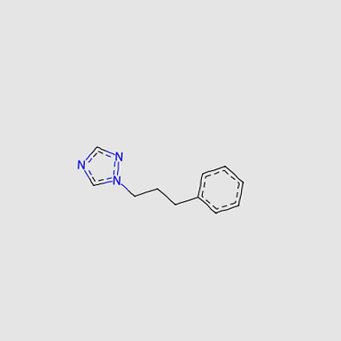 c1ccc(CCCn2cncn2)cc1